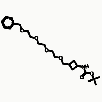 CC(C)(C)OC(=O)NC1CC(COCCOCCOCCOCc2ccccc2)C1